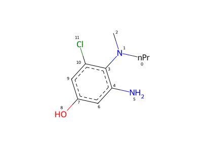 CCCN(C)c1c(N)cc(O)cc1Cl